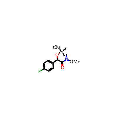 CON(C)C(=O)C(O[Si](C)(C)C(C)(C)C)c1ccc(F)cc1